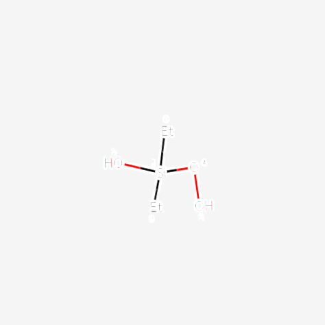 CC[Si](O)(CC)OO